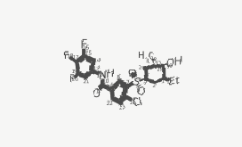 CCC1C[C@@H](S(=O)(=O)c2cc(C(=O)Nc3cc(F)c(F)c(F)c3)ccc2Cl)C[C@H](C)[C@@H]1O